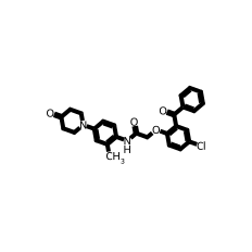 Cc1cc(N2CCC(=O)CC2)ccc1NC(=O)COc1ccc(Cl)cc1C(=O)c1ccccc1